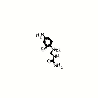 CCc1cc(N)ccc1N(CC)CNC(N)=O